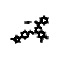 Cc1csc(C2CCN(CC[C@H](CN(C)C(=O)c3ccccc3)c3ccc(Cl)c(Cl)c3)CC2)c1.Cl